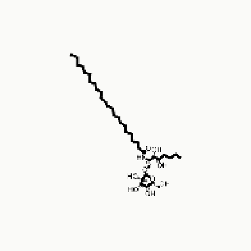 CCCCCCCCCCCCCCCCCCCCCCCC(=O)N[C@@H](CO[C@H]1O[C@H](CO)[C@H](O)[C@H](O)[C@H]1O)[C@H](O)[C@H](O)CCCC